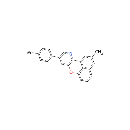 Cc1cc2c3c(cccc3c1)Oc1cc(-c3ccc(C(C)C)cc3)cnc1-2